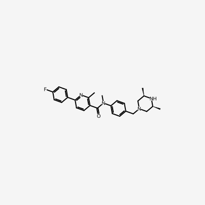 Cc1nc(-c2ccc(F)cc2)ccc1C(=O)N(C)c1ccc(CN2C[C@@H](C)N[C@@H](C)C2)cc1